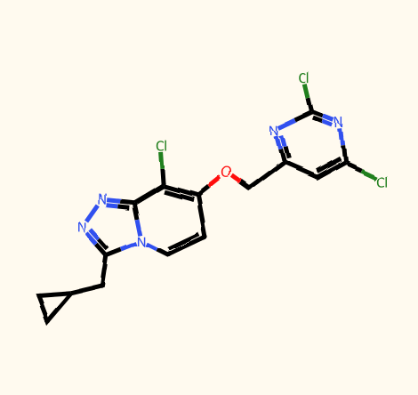 Clc1cc(COc2ccn3c(CC4CC4)nnc3c2Cl)nc(Cl)n1